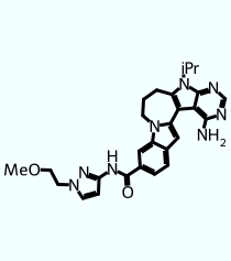 COCCn1ccc(NC(=O)c2ccc3cc4n(c3c2)CCCc2c-4c3c(N)ncnc3n2C(C)C)n1